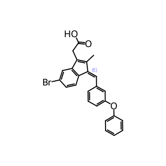 CC1=C(CC(=O)O)c2cc(Br)ccc2/C1=C\c1cccc(Oc2ccccc2)c1